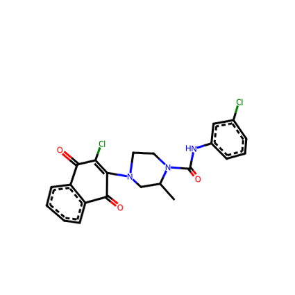 CC1CN(C2=C(Cl)C(=O)c3ccccc3C2=O)CCN1C(=O)Nc1cccc(Cl)c1